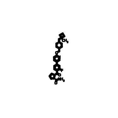 CC1(CN2CCC(COc3ccc(-c4ccc(C(=O)N5CCC[C@H]5C(N)=O)c(F)c4)cn3)CC2)CCC1